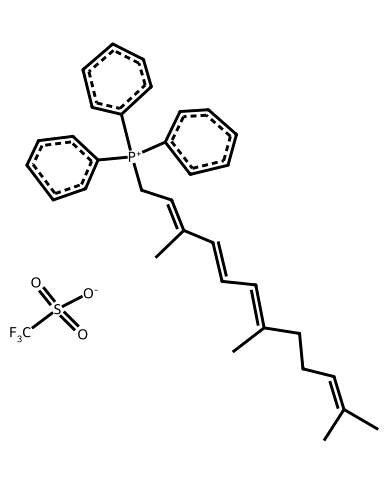 CC(C)=CCC/C(C)=C/C=C/C(C)=C/C[P+](c1ccccc1)(c1ccccc1)c1ccccc1.O=S(=O)([O-])C(F)(F)F